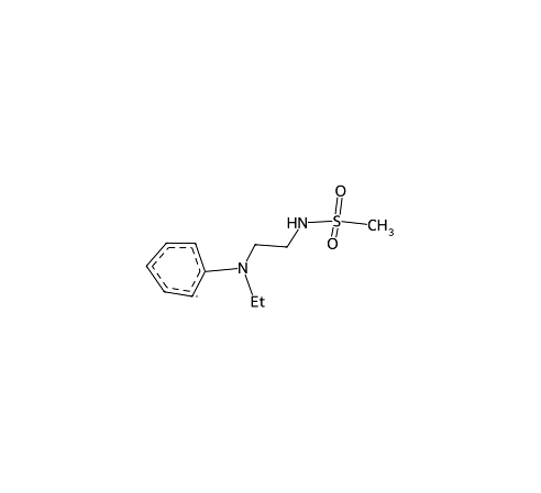 CCN(CCNS(C)(=O)=O)c1[c]cccc1